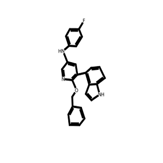 Fc1ccc(Nc2cnc(OCc3ccccc3)c(-c3cccc4[nH]ccc34)c2)cc1